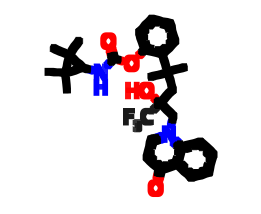 CC(C)(CC(O)(Cn1ccc(=O)c2ccccc21)C(F)(F)F)c1ccccc1OC(=O)NC1C(C)(C)C1(C)C